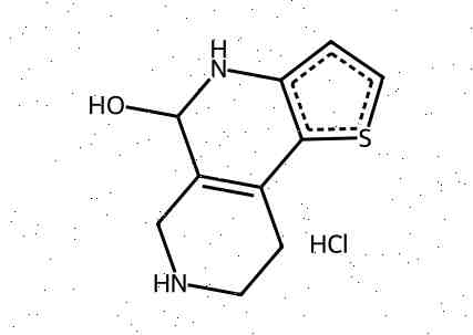 Cl.OC1Nc2ccsc2C2=C1CNCC2